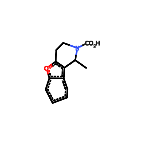 CC1c2c(oc3ccccc23)CCN1C(=O)O